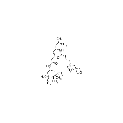 CC(C)C[C@@H](/C=C/CC(=O)NC1CC(C)(C)N(C)C(C)(C)C1)NC(=O)OCC[S+]([O-])CC1(C)COC1